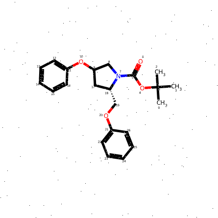 CC(C)(C)OC(=O)N1CC(Oc2ccccc2)C[C@H]1COc1ccccc1